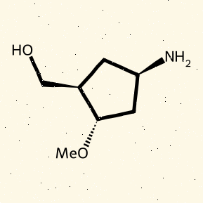 CO[C@H]1C[C@H](N)C[C@@H]1CO